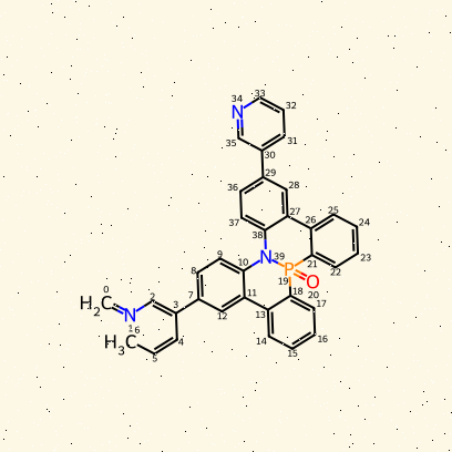 C=N/C=C(\C=C/C)c1ccc2c(c1)-c1ccccc1P1(=O)c3ccccc3-c3cc(-c4cccnc4)ccc3N21